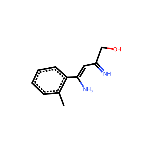 Cc1ccccc1/C(N)=C/C(=N)CO